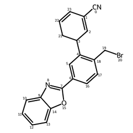 N#CC1=CC(c2cc(-c3nc4ccccc4o3)ccc2CBr)CC=C1